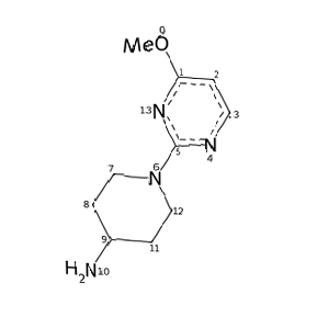 COc1c[c]nc(N2CCC(N)CC2)n1